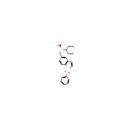 CC(C)(C)OC(=O)N(Cc1ccc2c(ccn2S(=O)(=O)c2ccccc2)c1)C1CCOCC1